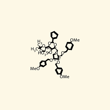 COc1ccc(COC[C@H]2[C@H](OCc3ccc(OC)cc3)[C@@H](OCc3ccc(OC)cc3)CN2C[C@@H]2OC(c3ccccc3)O[C@H]([C@H]3COC(C)(C)O3)[C@@H]2OS(=O)(=O)O)cc1